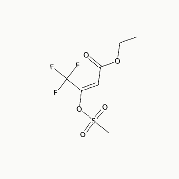 CCOC(=O)C=C(OS(C)(=O)=O)C(F)(F)F